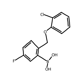 OB(O)c1cc(F)ccc1COc1ccccc1Cl